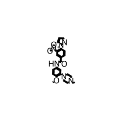 COc1ccc(NC(=O)c2ccc(-n3cccn3)c([N+](=O)[O-])c2)cc1N1CCN(C)CC1